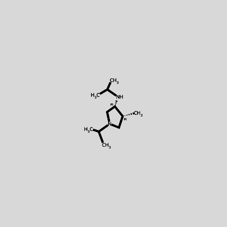 CC(C)N[C@H]1CN(C(C)C)C[C@H]1C